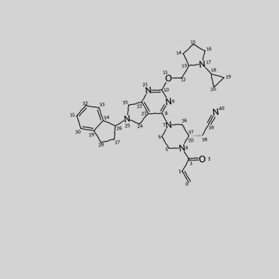 C=CC(=O)N1CCN(c2nc(OCC3CCCN3C3CC3)nc3c2CN(C2CCc4ccccc42)C3)C[C@@H]1CC#N